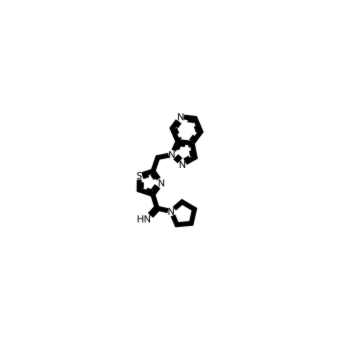 N=C(c1csc(Cn2ncc3ccncc32)n1)N1CCCC1